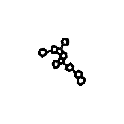 c1ccc(-c2ccc3c(c2)c2c4c5ccccc5n(-c5ccc(-c6ccc7ccccc7c6)cc5)c4ccc2n3-c2ccccc2)cc1